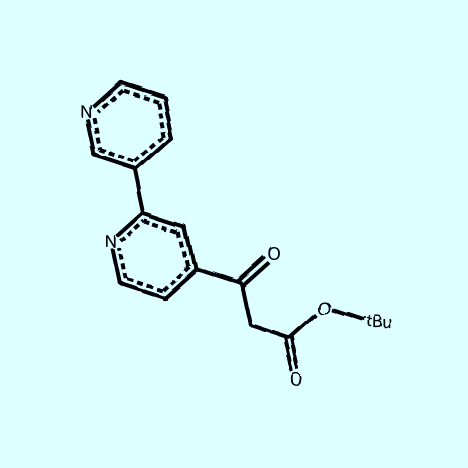 CC(C)(C)OC(=O)CC(=O)c1ccnc(-c2cccnc2)c1